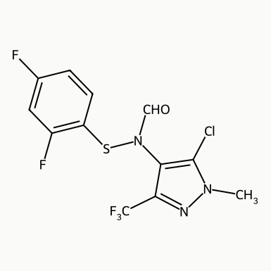 Cn1nc(C(F)(F)F)c(N(C=O)Sc2ccc(F)cc2F)c1Cl